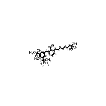 CC(C)(C)c1cc(C=C2SC=CN(CCCCCCCP(=O)(O)O)C2C=O)cc(C(C)(C)C)c1O